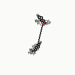 C[C@@H]1C[C@H]2[C@@H]3CCC4=CC(=O)C(CCCCCCCCCCCCCCCC(=O)O[C@]5(C(=O)CO)[C@H](C)CC6C7CCC8=CC(=O)C=C[C@]8(C)[C@@]7(F)[C@@H](O)C[C@@]65C)=C[C@]4(C)[C@@]3(F)[C@@H](O)C[C@]2(C)[C@@]1(O)C(=O)CO